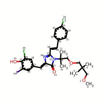 COCC(C)(C)COCC(C)(C)N1C(=O)/C(=C/c2cc(F)c(O)c(I)c2)N=C1/C=C/c1ccc(Cl)cc1